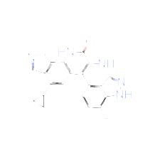 Nc1c(-c2ccc(F)c3[nH]ncc23)c2cc(C3CC3)c3cnsc3c2[nH]c1=O